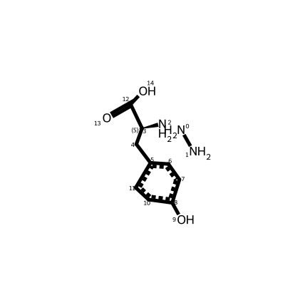 NN.N[C@@H](Cc1ccc(O)cc1)C(=O)O